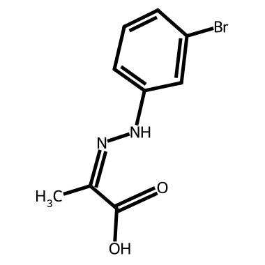 C/C(=N/Nc1cccc(Br)c1)C(=O)O